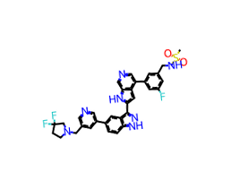 CS(=O)(=O)NCc1cc(F)cc(-c2cncc3[nH]c(-c4n[nH]c5ccc(-c6cncc(CN7CCC(F)(F)C7)c6)cc45)cc23)c1